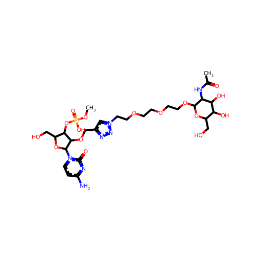 COP(=O)(O)OC1C(CO)OC(n2ccc(N)nc2=O)C1OCc1cn(CCOCCOCCOC2OC(CO)C(O)C(O)C2NC(C)=O)nn1